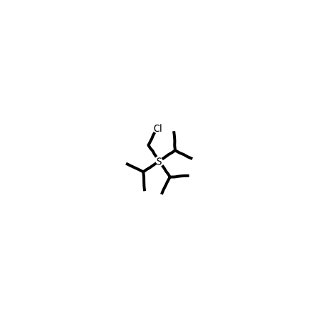 CC(C)S(CCl)(C(C)C)C(C)C